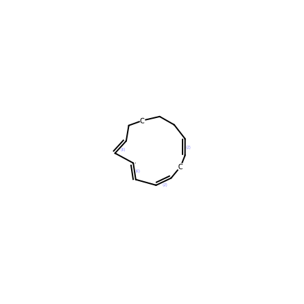 [C]1=C/C=C\C/C=C\CCCC/C=C/1